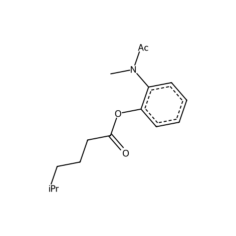 CC(=O)N(C)c1ccccc1OC(=O)CCCC(C)C